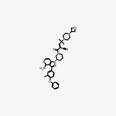 Cc1cc(-c2nn([C@@H]3CCCN(C(=O)C(C#N)=CC(C)(C)N4CCN(C5COC5)CC4)C3)c3ccnc(N)c23)ccc1Oc1ccccc1